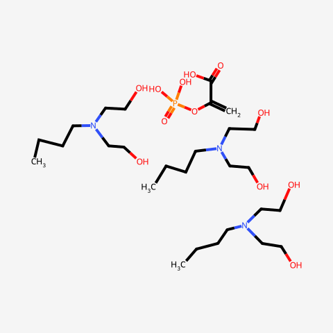 C=C(OP(=O)(O)O)C(=O)O.CCCCN(CCO)CCO.CCCCN(CCO)CCO.CCCCN(CCO)CCO